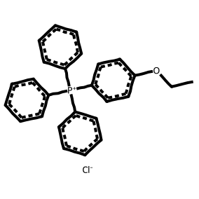 CCOc1ccc([P+](c2ccccc2)(c2ccccc2)c2ccccc2)cc1.[Cl-]